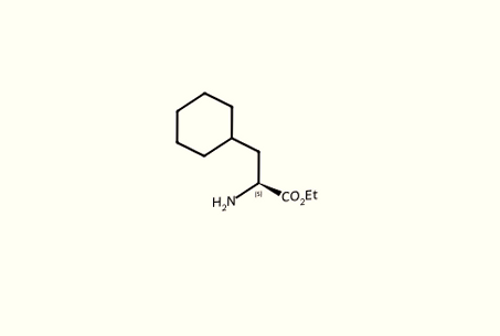 CCOC(=O)[C@@H](N)CC1CCCCC1